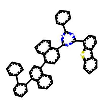 c1ccc(-c2nc(-c3ccc(-c4ccc(-c5ccccc5-c5ccccc5)c5ccccc45)c4ccccc34)nc(-c3cccc4c3sc3ccccc34)n2)cc1